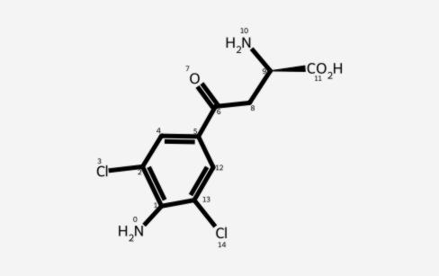 Nc1c(Cl)cc(C(=O)C[C@@H](N)C(=O)O)cc1Cl